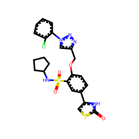 O=c1[nH]c(-c2ccc(OCc3cn(-c4ccccc4Cl)nn3)c(S(=O)(=O)NC3CCCC3)c2)cs1